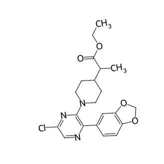 CCOC(=O)C(C)C1CCN(c2nc(Cl)cnc2-c2ccc3c(c2)OCO3)CC1